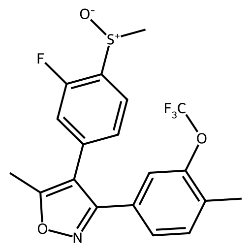 Cc1ccc(-c2noc(C)c2-c2ccc([S+](C)[O-])c(F)c2)cc1OC(F)(F)F